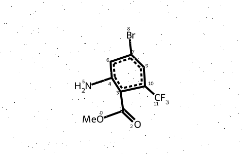 COC(=O)c1c(N)cc(Br)cc1C(F)(F)F